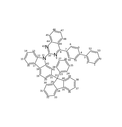 c1ccc(-c2ccc(-c3nc(-n4c5ccccc5c5ccc(C6(c7ccccc7)c7ccccc7-c7ccccc76)cc54)nc4ccccc34)cc2)cc1